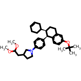 COC(CC1CCN(c2ccc([C@@H]3c4ccc(OC(C)(C)C)cc4CC[C@@H]3C3CC=CCC3)cc2)C1)OC